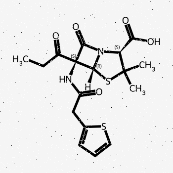 CCC(=O)[C@]1(NC(=O)Cc2cccs2)C(=O)N2[C@@H](C(=O)O)C(C)(C)S[C@@H]21